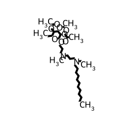 CCCCCCCCCCCCN(CC)CCCN(C)CCCOC1OC(CC)C(OC(C)=O)C(OC(C)=O)C1OC(C)=O